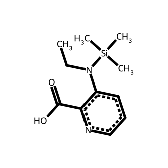 CCN(c1cccnc1C(=O)O)[Si](C)(C)C